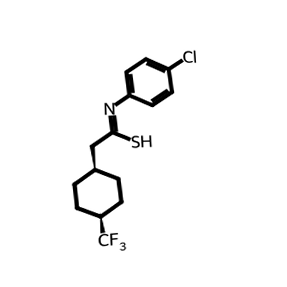 FC(F)(F)[C@H]1CC[C@@H](CC(S)=Nc2ccc(Cl)cc2)CC1